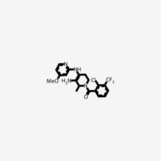 COc1ccnc(NC2=C(N)C(C)N(C(=O)c3cccc(C(F)(F)F)c3Cl)CC2)c1